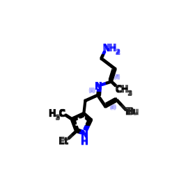 CCc1[nH]cc(CC(/C=C/C(C)CC)=N/C(C)=C\CN)c1C